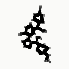 COc1ccc([C@@H](C)N2CCC[C@H]2c2cc(C(N)c3ccc(F)cc3)ncc2F)cc1